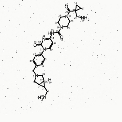 NCC1C2CN(Cc3ccc(-n4ccc(NC(=O)N5CCN(C(=O)C6(CN)CC6)CC5)nc4=O)cc3)C[C@@H]12